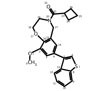 COc1cc(-c2csc3ccccc23)cc2c1OCCN(C(=O)C1CCC1)C2